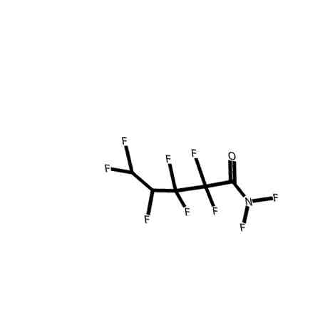 O=C(N(F)F)C(F)(F)C(F)(F)C(F)C(F)F